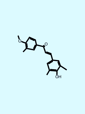 COc1ccc(C(=O)/C=C/c2cc(C)c(O)c(C)c2)cc1C